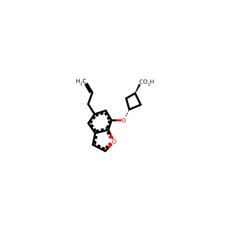 C=CCc1cc(O[C@H]2C[C@H](C(=O)O)C2)c2occc2c1